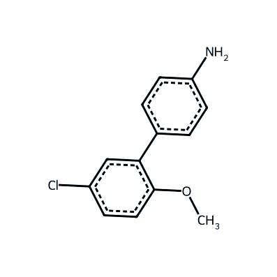 COc1ccc(Cl)cc1-c1ccc(N)cc1